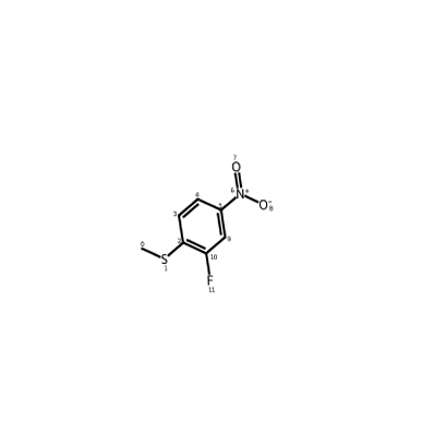 CSc1ccc([N+](=O)[O-])cc1F